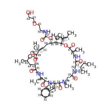 C/C=C(\C)[C@H]1OC(=O)[C@@H](C)NC(=O)[C@H](C(C)CC)NC(=O)CN(C)C(=O)[C@@H](Cc2ccccc2)N(C)C(=O)[C@H](C)NC(=O)[C@@H](CC(C)C)OC(=O)/C(C)=C/C[C@H](OC(=O)NCCOCCO)[C@@H]1C